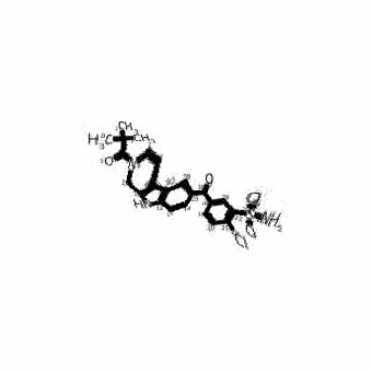 CC(C)(C)C(=O)N1CCc2c([nH]c3ccc(C(=O)c4ccc(Cl)c(S(N)(=O)=O)c4)cc23)C1